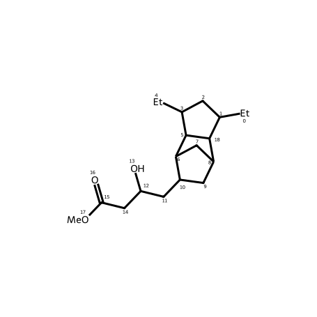 CCC1CC(CC)C2C3CC(CC3CC(O)CC(=O)OC)C12